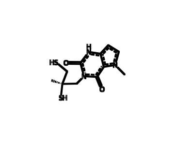 Cn1ccc2[nH]c(=O)n(C[C@@](C)(S)CS)c(=O)c21